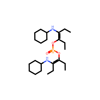 CCC(NC1CCCCC1)=C(CC)O[PH](=O)OC(CC)=C(CC)NC1CCCCC1